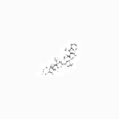 CN1CCn2nc(NC3CC(c4ccnc(N5CCc6c(c(F)c7n6CCCC7)C5=O)c4C=O)=CN(C)C3=O)cc2C1